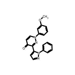 COc1cccc(-n2ccc(=O)c(-c3ccnn3-c3ccccc3)n2)c1